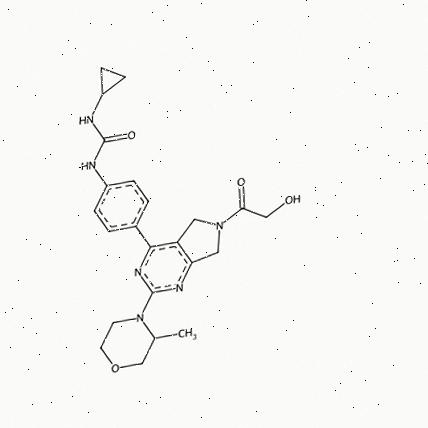 CC1COCCN1c1nc2c(c(-c3ccc(NC(=O)NC4CC4)cc3)n1)CN(C(=O)CO)C2